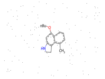 CCCCOc1cc2c(c3c(C)cccc13)CCN2